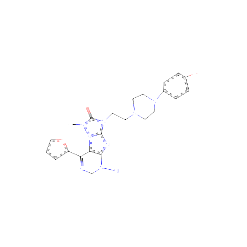 Cn1c(=O)n(CCN2CCN(c3ccc(O)cc3)CC2)c2nc3c(n21)C(c1ccco1)=NCN3N